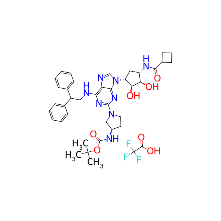 CC(C)(C)OC(=O)N[C@@H]1CCN(c2nc(NCC(c3ccccc3)c3ccccc3)c3ncn([C@@H]4C[C@H](NC(=O)C5CCC5)[C@@H](O)[C@H]4O)c3n2)C1.O=C(O)C(F)(F)F